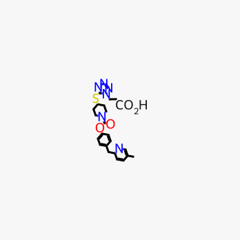 Cc1ccc(Cc2ccc(OC(=O)N3CCC(Sc4nnnn4CCC(=O)O)CC3)cc2)nc1